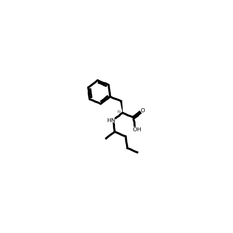 CCCC(C)N[C@@H](Cc1ccccc1)C(=O)O